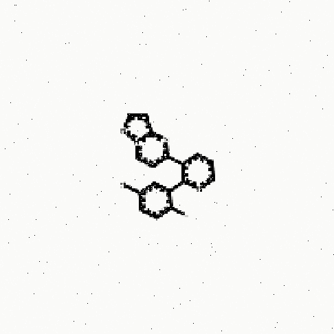 Fc1ccc(Cl)cc1-c1ncccc1-c1ccn2nccc2n1